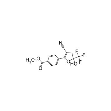 COC(=O)c1ccc(C2=C(C#N)CC(O)(C(F)(F)F)O2)cc1